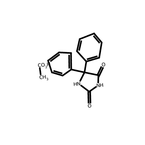 CC(=O)O.O=C1NC(=O)C(c2ccccc2)(c2ccccc2)N1